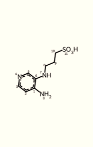 Nc1ccncc1NCCCS(=O)(=O)O